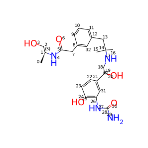 C[C@@H](CO)NC(=O)Cc1cccc(CC(C)(C)NC[C@@H](O)c2ccc(O)c(NC(N)=O)c2)c1